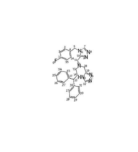 Fc1ccc(Cn2cnnc2CN(CCC(c2ccccc2)c2ccccc2)Cc2nnc[nH]2)cc1